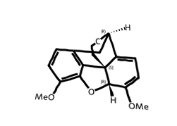 COC1=CC=C2[C@@H]3CCC[C@@]24c2c(ccc(OC)c2O[C@@H]14)C3